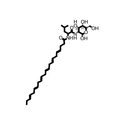 CCC=CCC=CCC=CCC=CCC=CCC=CCCC(=O)NC(CC(C)C)C(=O)N[C@@H]1[C@@H](O)[C@H](O)[C@@H](CO)O[C@H]1O